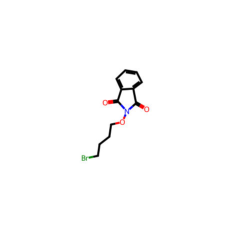 O=C1c2ccccc2C(=O)N1OCCCCBr